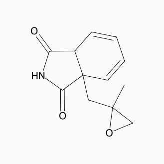 CC1(CC23C=CC=CC2C(=O)NC3=O)CO1